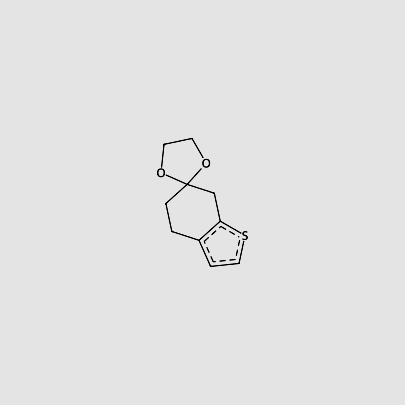 c1cc2c(s1)CC1(CC2)OCCO1